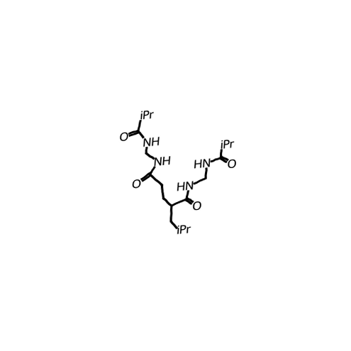 CC(C)CC(CCC(=O)NCNC(=O)C(C)C)C(=O)NCNC(=O)C(C)C